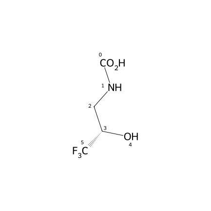 O=C(O)NC[C@H](O)C(F)(F)F